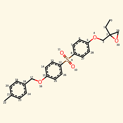 CCC1(COc2ccc(S(=O)(=O)c3ccc(OCc4ccc(C)cc4)cc3)cc2)CO1